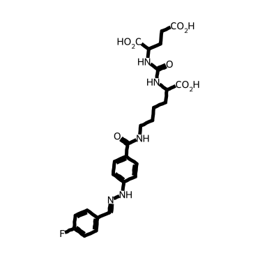 O=C(O)CCC(NC(=O)NC(CCCCNC(=O)c1ccc(NN=Cc2ccc(F)cc2)cc1)C(=O)O)C(=O)O